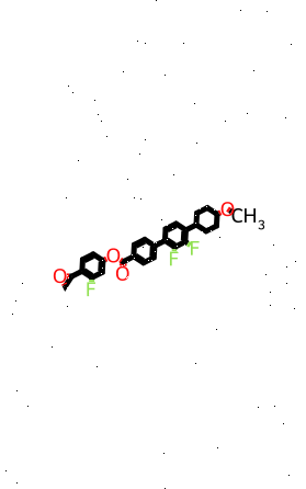 COC1CCC(c2ccc(-c3ccc(C(=O)Oc4ccc(C5CO5)c(F)c4)cc3)c(F)c2F)CC1